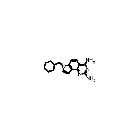 Nc1nc(N)c2ccc3c(ccn3CC3CCCCC3)c2n1